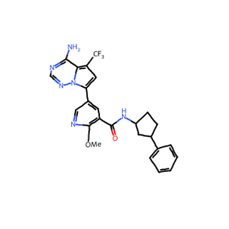 COc1ncc(-c2cc(C(F)(F)F)c3c(N)ncnn23)cc1C(=O)NC1CCC(c2ccccc2)C1